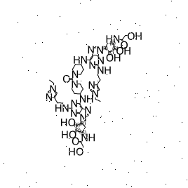 CCn1cnc(CCNc2nc(NC3CCN(C(=O)N4CCC(Nc5nc(NCCc6cn(CC)cn6)nc6c5ncn6[C@@H]5C[C@H](NC(=O)CO)[C@@H](O)[C@H]5O)CC4)CC3)c3ncn([C@@H]4C[C@H](NC(=O)CO)[C@@H](O)[C@H]4O)c3n2)c1